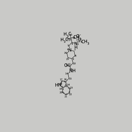 C[S+]([O-])NC(CN1CCC(CC(=O)NCCc2c[nH]c3ccccc23)CC1)C(C)(C)C